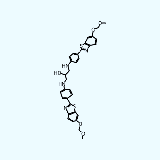 COCOc1ccc2nc(-c3ccc(NCC(O)CNc4ccc(-c5nc6ccc(OCOC)cc6s5)cc4)cc3)sc2c1